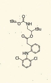 CC(C)(C)OC(=O)NCC(OC(=O)Cc1ccccc1Nc1c(Cl)cccc1Cl)C(C)(C)C